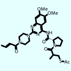 C/C=C/C(=O)N1CCN(c2nc(NC(=O)[C@@H]3CCCN3C(=O)C(C)CSC(C)=O)c3cc(OC)c(OC)cc3n2)CC1